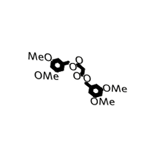 COc1cc(COC(=O)CC(=O)OCc2cc(OC)cc(OC)c2)cc(OC)c1